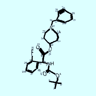 CC(C)(C)OC(=O)NC(C(=O)OC1CCN(Cc2ccccc2)CC1)c1ccccc1F